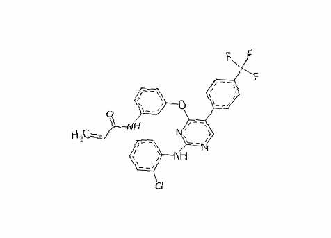 C=CC(=O)Nc1cccc(Oc2nc(Nc3ccccc3Cl)ncc2-c2ccc(C(F)(F)F)cc2)c1